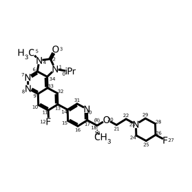 CC(C)n1c(=O)n(C)c2nnc3cc(F)c(-c4ccc([C@@H](C)OCCN5CCC(F)CC5)nc4)cc3c21